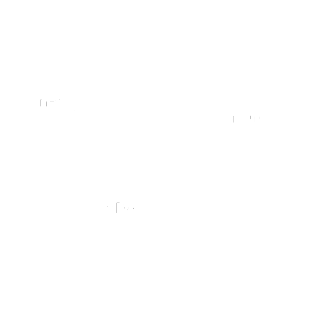 [CH2]CCC(CCCCCCCCCCCCCCCC)CCCCCCCCCCCCCCCCCCCC